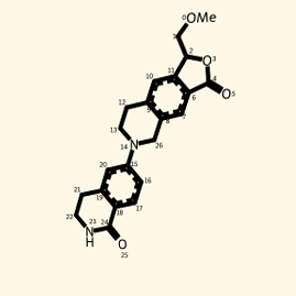 COCC1OC(=O)c2cc3c(cc21)CCN(c1ccc2c(c1)CCNC2=O)C3